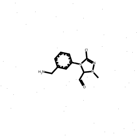 CN1N=C(Cl)N(c2cccc(CN)c2)C1C=O